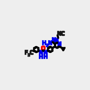 [C-]#[N+]CCn1nc(N)c2c(-c3ccc(NC(=O)Nc4cccc(C(F)(F)F)c4)cc3)cc(C3CC3)nc21